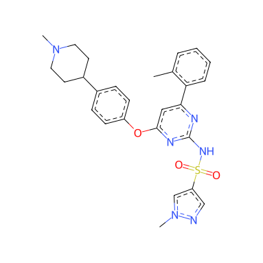 Cc1ccccc1-c1cc(Oc2ccc(C3CCN(C)CC3)cc2)nc(NS(=O)(=O)c2cnn(C)c2)n1